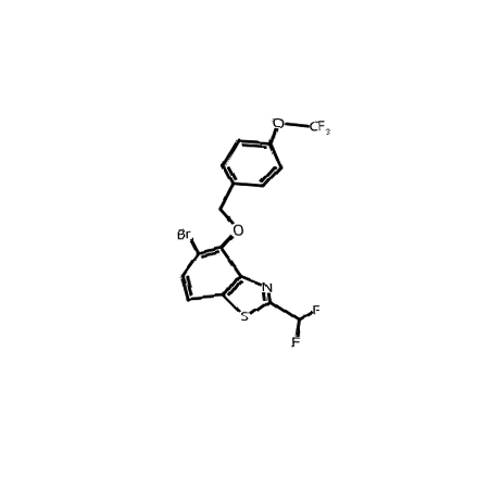 FC(F)c1nc2c(OCc3ccc(OC(F)(F)F)cc3)c(Br)ccc2s1